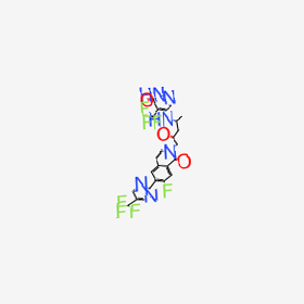 CC(CC(=O)Cn1ccc2cc(-c3ncc(C(F)(F)F)cn3)c(F)cc2c1=O)Nc1cn[nH]c(=O)c1C(F)(F)F